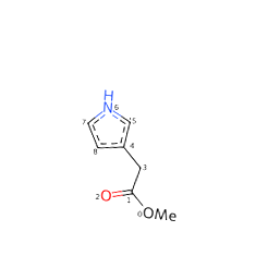 COC(=O)Cc1[c][nH]cc1